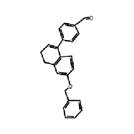 O=Cc1ccc(C2=CCCc3cc(OCc4ccccc4)ccc32)cc1